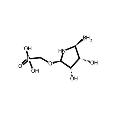 B[C@@H]1N[C@H](OCP(=O)(O)O)[C@@H](O)[C@H]1O